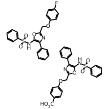 O=C(O)c1ccc(OCc2nc(-c3ccccc3)c(NS(=O)(=O)c3ccccc3)o2)cc1.O=S(=O)(Nc1oc(COc2ccc(F)cc2)nc1-c1ccccc1)c1ccccc1